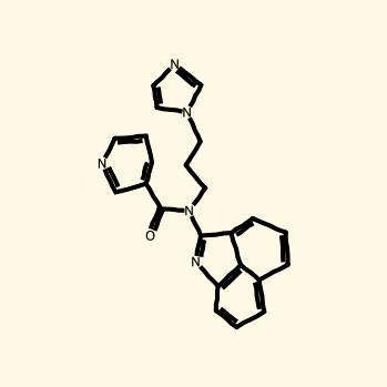 O=C(c1cccnc1)N(CCCn1ccnc1)C1=Nc2cccc3cccc1c23